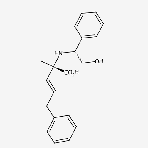 C[C@@](/C=C/Cc1ccccc1)(N[C@@H](CO)c1ccccc1)C(=O)O